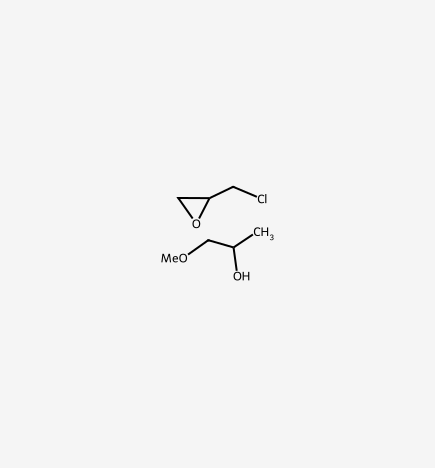 COCC(C)O.ClCC1CO1